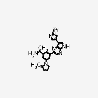 CC(N)c1cc(-c2cnc3[nH]cc(-c4cnn(C(C)C)c4)c3n2)cc(N2CCC[C@H]2C)c1